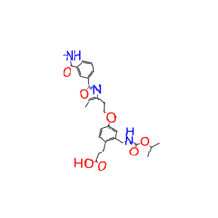 CNC(=O)c1cccc(-c2nc(CCOc3ccc(CCC(=O)O)c(CNC(=O)OC(C)C)c3)c(C)o2)c1